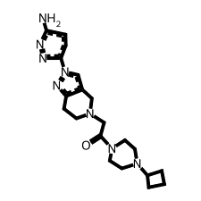 Nc1ccc(-n2cc3c(n2)CCN(CC(=O)N2CCN(C4CCC4)CC2)C3)nn1